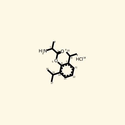 CC(N)C(=O)Oc1c(C(C)C)cccc1C(C)C.Cl